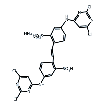 O=S(=O)(O)c1cc(Nc2cc(Cl)nc(Cl)n2)ccc1C=Cc1ccc(Nc2cc(Cl)nc(Cl)n2)cc1S(=O)(=O)O.[NaH].[NaH]